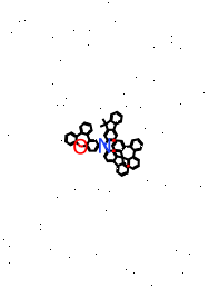 CC1(C)c2ccccc2-c2ccc(N(c3ccc4c(c3)-c3ccccc3-c3ccccc3O4)c3ccc4c(c3)C3(c5ccccc5-c5ccccc5-c5ccccc53)c3ccccc3-4)cc21